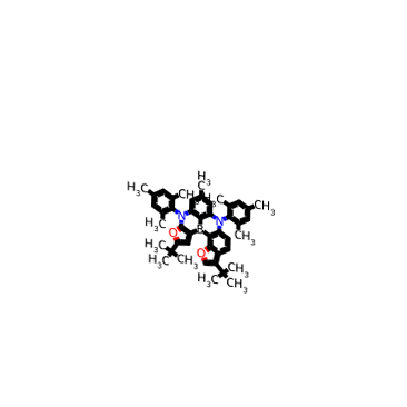 Cc1cc(C)c(N2c3cc(C)cc4c3B(c3cc(C(C)(C)C)oc3N4c3c(C)cc(C)cc3C)c3c2ccc2c(C(C)(C)C)coc32)c(C)c1